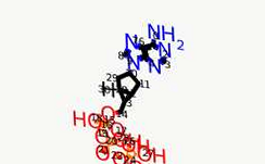 Nc1ncnc2c1ncn2[C@H]1CC2C(COP(=O)(O)OP(=O)(O)OP(=O)(O)O)[C@H]2C1